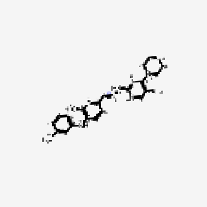 Cc1nc(/C=N/Nc2ncc(F)c(N3CCOCC3)n2)ccc1Nc1cccc(C(F)(F)F)c1